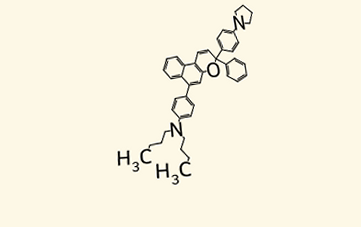 CCCCN(CCCC)c1ccc(-c2cc3c(c4ccccc24)C=CC(c2ccccc2)(c2ccc(N4CCCC4)cc2)O3)cc1